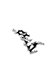 CCOc1ccc2nc(C)c(S(=O)(=O)NC(=O)Nc3nc(OC)cc(OC)n3)n2c1